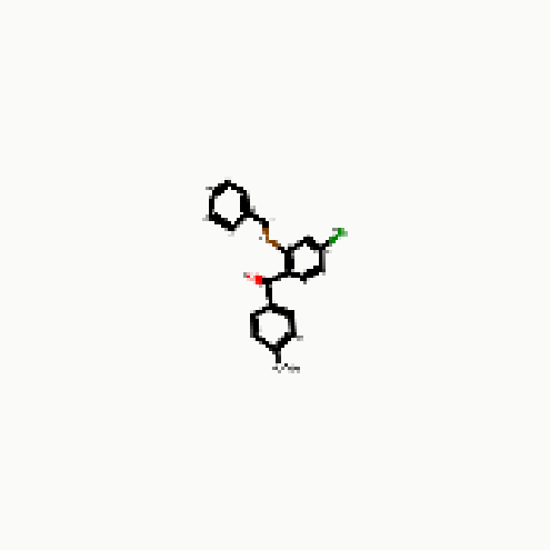 COc1ccc(C(=O)c2ccc(Br)cc2SCc2ccccc2)cc1